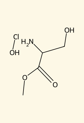 COC(=O)C(N)CO.OCl